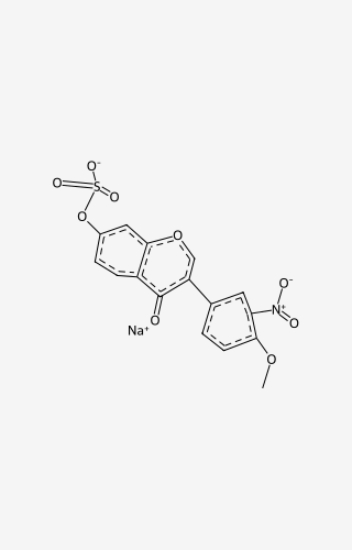 COc1ccc(-c2coc3cc(OS(=O)(=O)[O-])ccc3c2=O)cc1[N+](=O)[O-].[Na+]